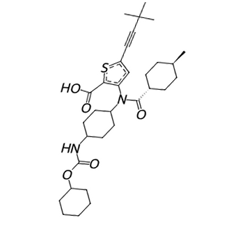 CC(C)(C)C#Cc1cc(N(C(=O)[C@H]2CC[C@H](C)CC2)C2CCC(NC(=O)OC3CCCCC3)CC2)c(C(=O)O)s1